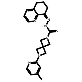 Cc1ccnc(N2CC3(CN(C(=S)N/N=C4/CCCc5cccnc54)C3)C2)c1